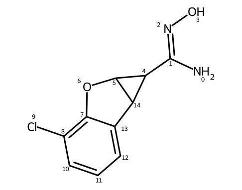 N/C(=N\O)C1C2Oc3c(Cl)cccc3C21